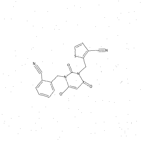 N#Cc1ccccc1Cn1c(Cl)cc(=O)n(Cc2sccc2C#N)c1=O